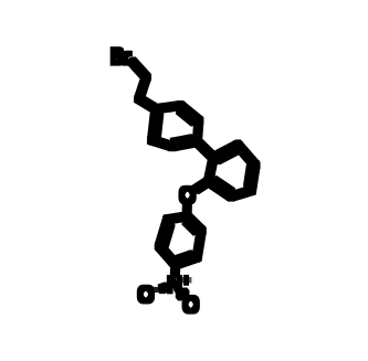 O=[N+]([O-])c1ccc(Oc2ccccc2-c2ccc(CCBr)cc2)cc1